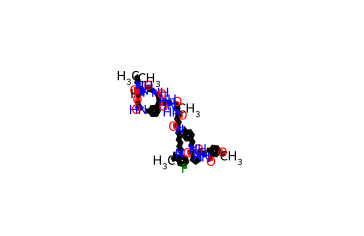 COc1ccc(C[C@H](NC=O)C(=O)N2CCC[C@H]2C(=O)NCCc2ccc(CN(CCCCCCn3cc(C)c4cc(F)ccc43)C(=O)CCC(=O)N[C@@H](C)C(=O)NCC(=O)N[C@H]3Cc4cccc(c4)CNC(=O)CO[C@H]4CCN(C(=O)CNC3=O)N4C(=O)NCC(C)C)cc2)cc1